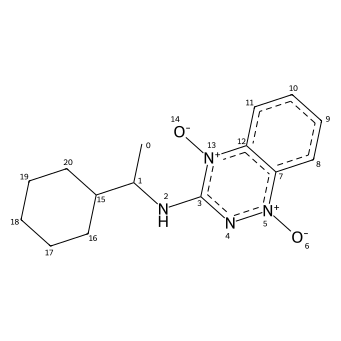 CC(Nc1n[n+]([O-])c2ccccc2[n+]1[O-])C1CCCCC1